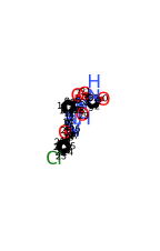 O=C1CCC(N2C(=O)c3cccc(NCc4ncc(-c5ccc(Cl)cc5)o4)c3C2=O)C(=O)N1